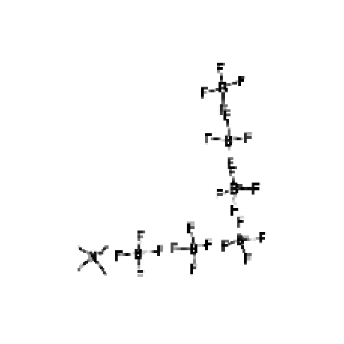 C[N+](C)(C)C.F[B-](F)(F)F.F[B-](F)(F)F.F[B-](F)(F)F.F[B-](F)(F)F.F[B-](F)(F)F.F[B-](F)(F)F